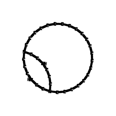 C1CCCCCCCCCCN2CCCNCCN(CCCCCCCCCC1)CCCNCC2